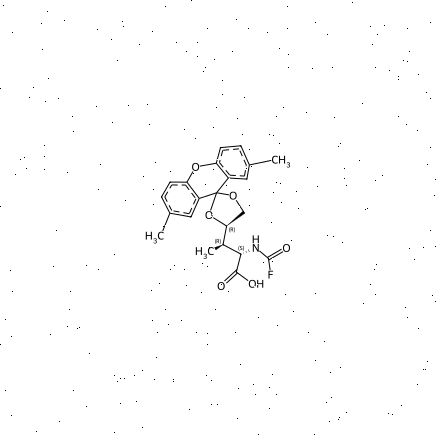 Cc1ccc2c(c1)C1(OC[C@@H]([C@H](C)[C@H](NC(=O)F)C(=O)O)O1)c1cc(C)ccc1O2